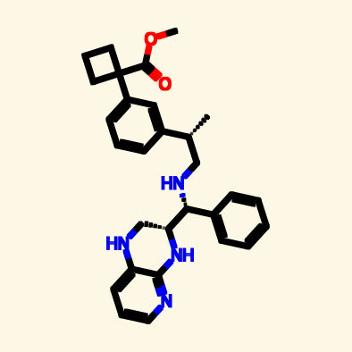 COC(=O)C1(c2cccc([C@H](C)CN[C@H](c3ccccc3)[C@H]3CNc4cccnc4N3)c2)CCC1